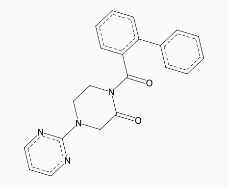 O=C1CN(c2ncccn2)CCN1C(=O)c1ccccc1-c1ccccc1